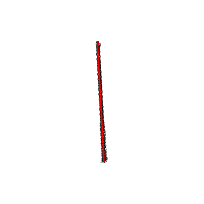 CC(C)COC(=O)COCCOCCOCCOCCOCCOCCOCCOCCOCCOCCOCCOCCOCCOCCOCCOCCOCCOCCOCCOCCOCCOCCOCCOCCOCCOCCOCCOCCOCCOCCOCCOCCOCCOCCOCCOCCOCCOCCOCCOCCOCCOCCOCCOCCOCC(=O)OCC(C)C